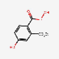 CCOC(=O)c1cc(O)ccc1C(=O)OO